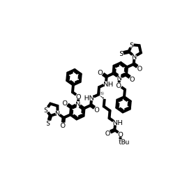 CC(C)(C)OC(=O)NCCCC[C@@H](CNC(=O)c1ccc(C(=O)N2CCSC2=S)c(=O)n1OCc1ccccc1)NC(=O)c1ccc(C(=O)N2CCSC2=S)c(=O)n1OCc1ccccc1